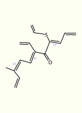 C=C/C=C(\SC=C)C(=O)/C(C=C)=C/C=C(/C)C=C